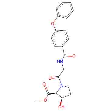 COC(=O)[C@@H]1[C@H](O)CCN1C(=O)CNC(=O)c1ccc(Oc2ccccc2)cc1